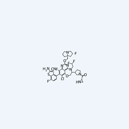 N#Cc1c(N)sc2c(F)ccc(-c3c(Cl)c4c5c(nc(OC[C@@]67CCCN6C[C@H](F)C7)nc5c3F)N(CC(F)F)C(C3CCN(C(=O)[C@H]5CN5)C3)CO4)c12